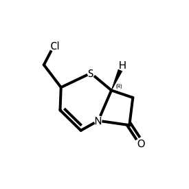 O=C1C[C@H]2SC(CCl)C=CN12